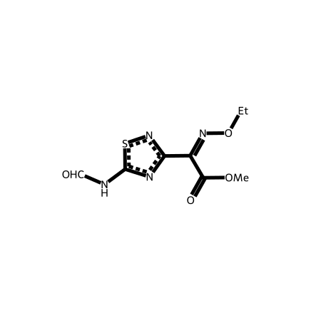 CCON=C(C(=O)OC)c1nsc(NC=O)n1